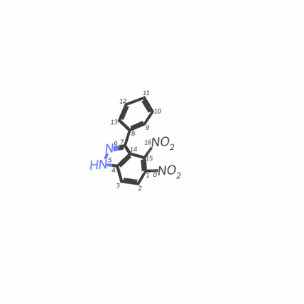 O=[N+]([O-])c1ccc2[nH]nc(-c3ccccc3)c2c1[N+](=O)[O-]